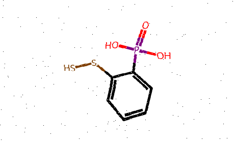 O=P(O)(O)c1ccccc1SS